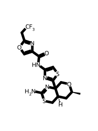 C[C@H]1C[C@H]2CSC(N)=NC2(c2nc(NC(=O)c3coc(CC(F)(F)F)n3)cs2)CO1